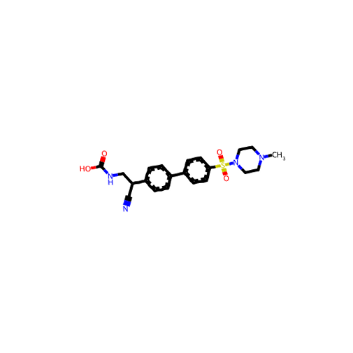 CN1CCN(S(=O)(=O)c2ccc(-c3ccc(C(C#N)CNC(=O)O)cc3)cc2)CC1